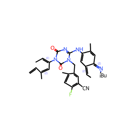 C=C/C(C)=C\C(=C/C)n1c(=O)nc(NC2=CC(=C/C)/C(=N\C(C)CC)C=C2C)n(Cc2cc(C#N)c(F)cc2C)c1=O